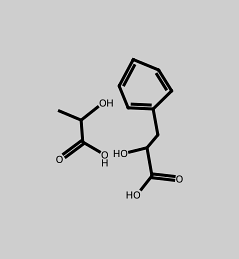 CC(O)C(=O)O.O=C(O)C(O)Cc1ccccc1